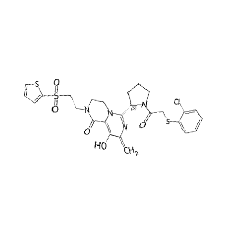 C=C1N=C([C@@H]2CCCN2C(=O)CSc2ccccc2Cl)N2CCN(CCS(=O)(=O)c3cccs3)C(=O)C2=C1O